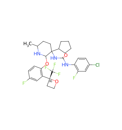 CC1CCC(NC(=O)Nc2ccc(Cl)cc2F)(C2CCCC2)C(Oc2ccc(F)cc2[C@@]2(C(F)(F)F)CCO2)N1